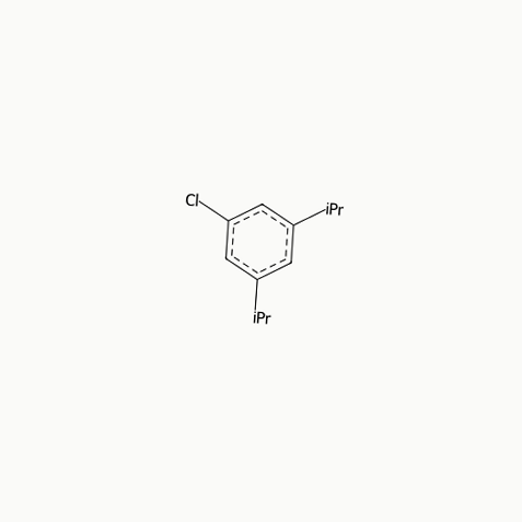 CC(C)c1cc(Cl)cc(C(C)C)c1